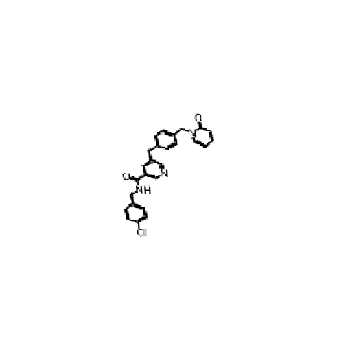 O=C(NCc1ccc(Cl)cc1)c1cncc(Cc2ccc(Cn3ccccc3=O)cc2)c1